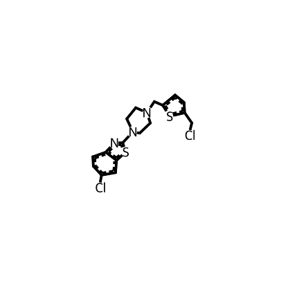 ClCc1ccc(CN2CCN(c3nc4ccc(Cl)cc4s3)CC2)s1